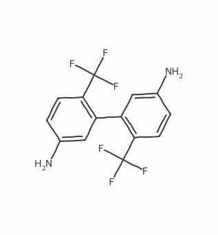 Nc1ccc(C(F)(F)F)c(-c2cc(N)ccc2C(F)(F)F)c1